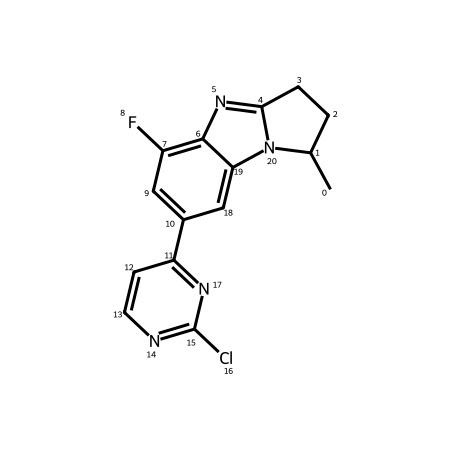 CC1CCc2nc3c(F)cc(-c4ccnc(Cl)n4)cc3n21